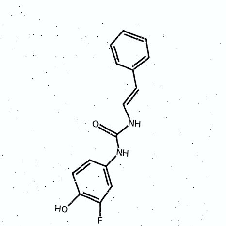 O=C(NC=Cc1ccccc1)Nc1ccc(O)c(F)c1